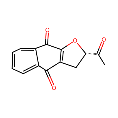 CC(=O)[C@@H]1CC2=C(O1)C(=O)c1ccccc1C2=O